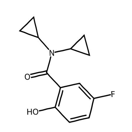 O=C(c1cc(F)ccc1O)N(C1CC1)C1CC1